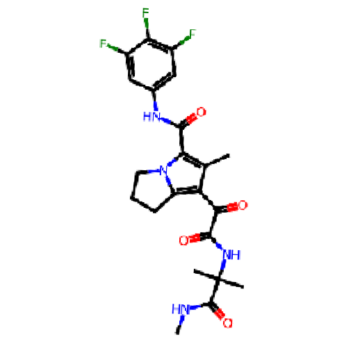 CNC(=O)C(C)(C)NC(=O)C(=O)c1c(C)c(C(=O)Nc2cc(F)c(F)c(F)c2)n2c1CCC2